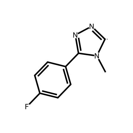 Cn1[c]nnc1-c1ccc(F)cc1